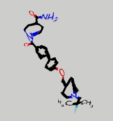 CC(C)(F)CN1CCC(COc2ccc(-c3ccc(C(=O)N4CCC(C(N)=O)CC4)cc3)cc2)CC1